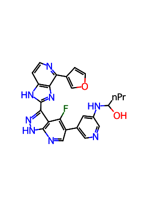 CCCC(O)Nc1cncc(-c2cnc3[nH]nc(-c4nc5c(-c6ccoc6)nccc5[nH]4)c3c2F)c1